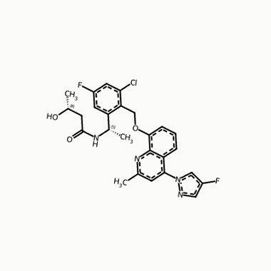 Cc1cc(-n2cc(F)cn2)c2cccc(OCc3c(Cl)cc(F)cc3[C@H](C)NC(=O)C[C@@H](C)O)c2n1